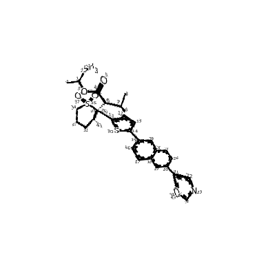 CC([SiH3])OC(=O)C(C(C)C)[C@]1(c2ccc(-c3ccc4cc(-c5cnco5)ccc4c3)s2)CCCCS1(=O)=O